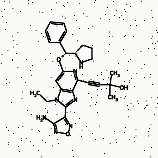 CCn1c(-c2nonc2N)nc2c(C#CC(C)(C)O)nc(O[C@H](c3ccccc3)[C@@H]3CCCN3)cc21